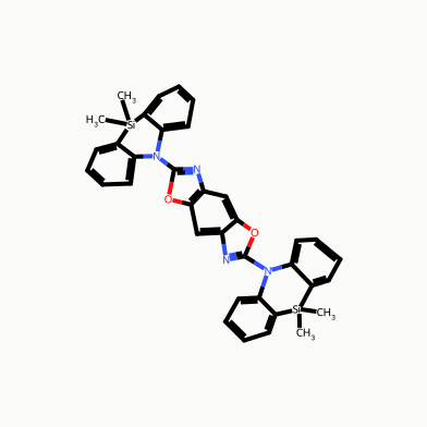 C[Si]1(C)c2ccccc2N(c2nc3cc4oc(N5c6ccccc6[Si](C)(C)c6ccccc65)nc4cc3o2)c2ccccc21